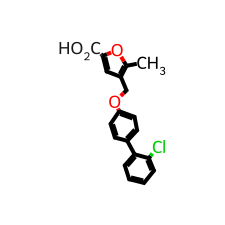 Cc1oc(C(=O)O)cc1COc1ccc(-c2ccccc2Cl)cc1